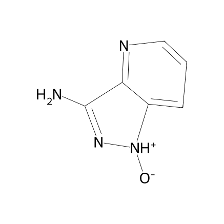 NC1=N[NH+]([O-])c2cccnc21